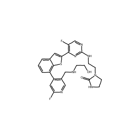 O=C1NCCN1CCNc1ncc(F)c(-c2cc3cccc(-c4cc(F)ncc4CNCCO)c3s2)n1